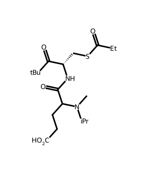 CCC(=O)SC[C@H](NC(=O)C(CCC(=O)O)N(C)C(C)C)C(=O)C(C)(C)C